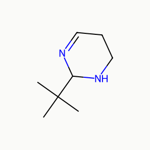 CC(C)(C)C1N=CCCN1